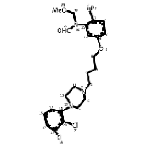 CCCc1ccc(OCCCCN2CCN(c3cccc(Cl)c3Cl)CC2)cc1N(C=O)COC